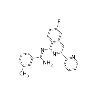 Cc1cccc(C(N)=Nc2nc(-c3ccccn3)cc3cc(F)ccc23)c1